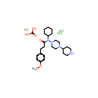 COc1ccc(CCC(=O)N(C2CCCCC2)N2CCN(C3CCNCC3)CC2)cc1.Cl.Cl.Cl.O=C(O)O